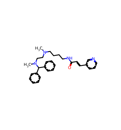 CN(CCCCNC(=O)C=Cc1cccnc1)CCN(C)C(c1ccccc1)c1ccccc1